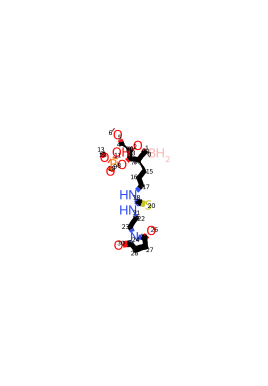 B[C@@H]1O[C@H](COC)C(OP(=O)(O)OC)[C@@H]1CCCNC(=S)NCCN1C(=O)C=CC1=O